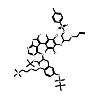 C=CCOCC(COS(=O)(=O)c1ccc(C)cc1)Oc1c(Cl)c(C)c(-c2c(Br)sc3ncnc(OC(Cc4cc(O[Si](C)(C)C(C)(C)C)ccc4OCOCC[Si](C)(C)C)C(=O)OC(C)(C)C)c23)c(C)c1Cl